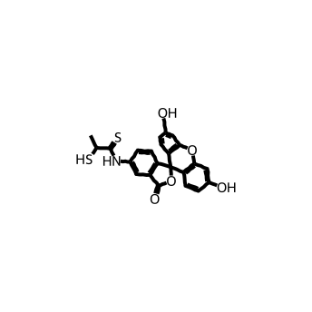 CC(S)C(=S)Nc1ccc2c(c1)C(=O)OC21c2ccc(O)cc2Oc2cc(O)ccc21